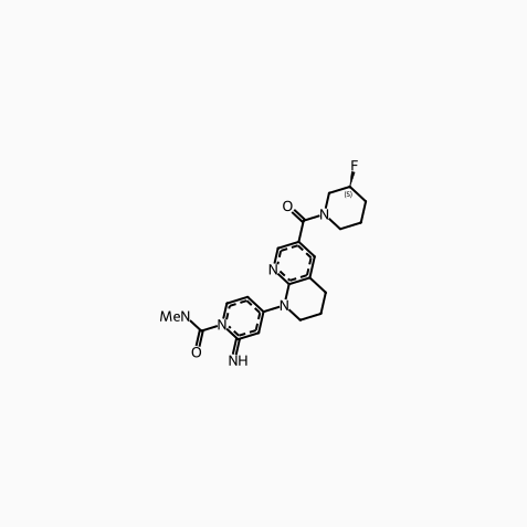 CNC(=O)n1ccc(N2CCCc3cc(C(=O)N4CCC[C@H](F)C4)cnc32)cc1=N